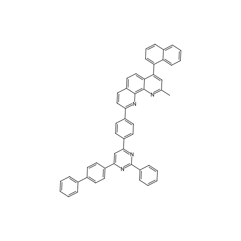 Cc1cc(-c2cccc3ccccc23)c2ccc3ccc(-c4ccc(-c5cc(-c6ccc(-c7ccccc7)cc6)nc(-c6ccccc6)n5)cc4)nc3c2n1